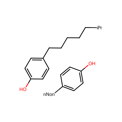 CC(C)CCCCCc1ccc(O)cc1.CCCCCCCCCc1ccc(O)cc1